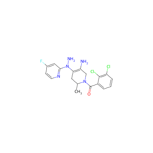 CC1CC(N(N)c2cc(F)ccn2)=C(N)CN1C(=O)c1cccc(Cl)c1Cl